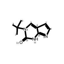 CC(C)(C)n1cc2ccnc-2[nH]c1=O